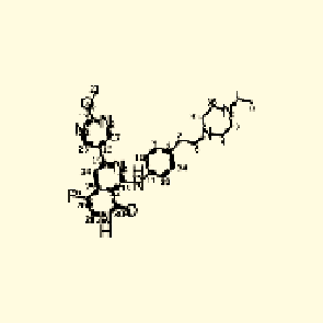 CCN1CCN(CCc2ccc(Nc3nc(-c4cnc(OC)nc4)cc4c(F)c[nH]c(=O)c34)cc2)CC1